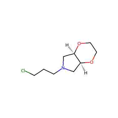 ClCCCN1C[C@@H]2OCCO[C@@H]2C1